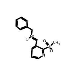 CS(=O)(=O)c1ncccc1C=[N+]([O-])Cc1ccccc1